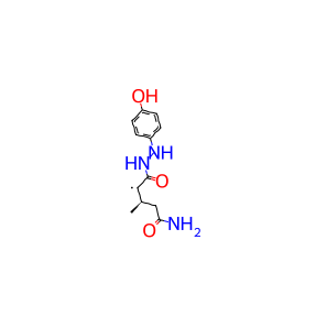 C[C@@H]([CH]C(=O)NNc1ccc(O)cc1)CC(N)=O